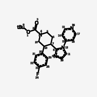 CC(C)(C)OC(=O)N1CCC(c2nccn2-c2ccncc2)C(c2ccc(F)cc2)C1